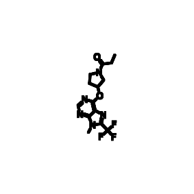 CCC(=O)N1CCC(Oc2ncnc3c2nc(C(F)(F)F)n3C)C1